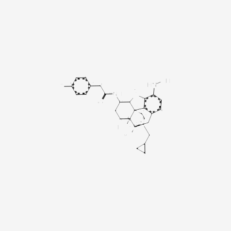 O=CNc1ccc2c3c1OC1C(NC(=O)Cc4ccc(F)cc4)CC[C@@]4(O)[C@@H](C2)N(CC2CC2)CC[C@]314